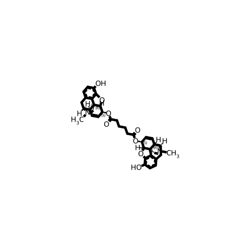 CN1CC[C@]23c4c5ccc(O)c4O[C@H]2[C@@H](OC(=O)CCCCC(=O)O[C@H]2C=C[C@H]4[C@H]6Cc7ccc(O)c8c7[C@@]4(CCN6C)[C@H]2O8)C=C[C@H]3[C@H]1C5